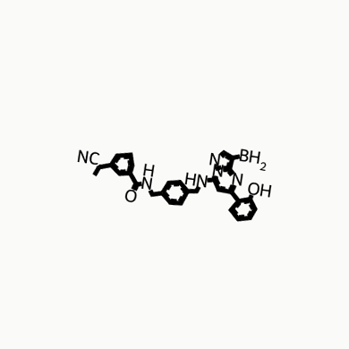 Bc1cnn2c(NCc3ccc(CNC(=O)c4cccc(C(C)C#N)c4)cc3)cc(-c3ccccc3O)nc12